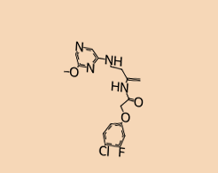 C=C(CCNc1cncc(OC)n1)NC(=O)COc1ccc(Cl)c(F)c1